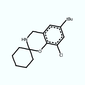 CC(C)(C)c1cc(Cl)c2c(c1)CNC1(CCCCC1)O2